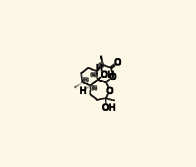 C[C@@H]1CC[C@H]2[C@@H](C)C(=O)OC3OC(C)(O)CC[C@@H]1C32O